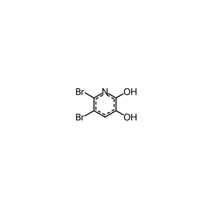 Oc1cc(Br)c(Br)nc1O